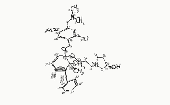 CN(C)Cc1cc(Cl)c(COC2(OCCCN3CC[C@@H](O)C3)C=CC=C(c3ccccc3)C2(C)C)cc1O